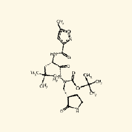 Cc1cc(C(=O)N[C@@H](CC(C)(C)C)C(=O)NN(C[C@@H]2CCNC2=O)C(=O)OC(C)(C)C)no1